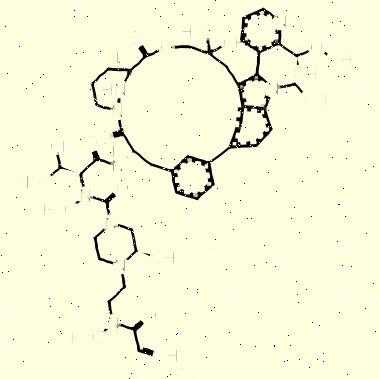 C=CC(=O)N(C)CCN1CCN(C(=O)N(C)[C@H](C(=O)N[C@H]2Cc3cccc(c3)-c3ccc4c(c3)c(c(-c3cccnc3[C@H](C)OC)n4CC)CC(C)(C)COC(=O)[C@@H]3CCCN(N3)C2=O)C(C)C)C[C@H]1C